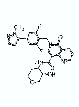 Cn1nccc1-c1cc(F)c(Cn2cc(C(=O)N[C@H]3CCOC[C@@H]3O)c3ncccc3c2=O)c(F)c1